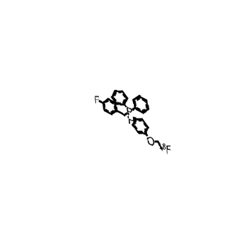 Fc1ccc(C[PH](c2ccccc2)(c2ccccc2)c2ccc(OCC[18F])cc2)cc1